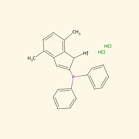 Cc1ccc(C)c2c1C=C(P(c1ccccc1)c1ccccc1)[CH]2[Hf].Cl.Cl